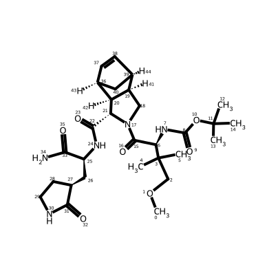 COCC(C)(C)[C@H](NC(=O)OC(C)(C)C)C(=O)N1C[C@H]2[C@@H]([C@H]1C(=O)N[C@@H](C[C@@H]1CCNC1=O)C(N)=O)[C@H]1C=C[C@@H]2C1